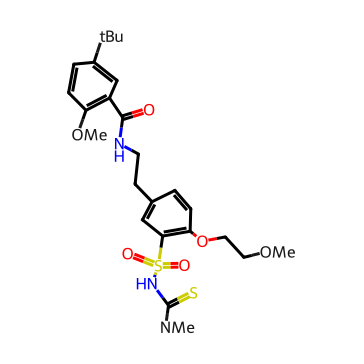 CNC(=S)NS(=O)(=O)c1cc(CCNC(=O)c2cc(C(C)(C)C)ccc2OC)ccc1OCCOC